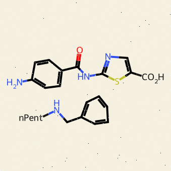 CCCCCNCc1ccccc1.Nc1ccc(C(=O)Nc2ncc(C(=O)O)s2)cc1